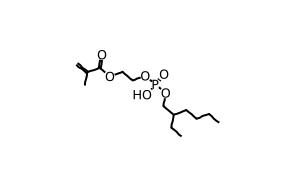 C=C(C)C(=O)OCCOP(=O)(O)OCC(CC)CCCC